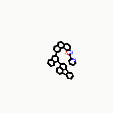 c1ccc(-c2nc3ccc4ccc5ccc(-c6cc(-c7ccc8c9c(cccc79)-c7ccccc7-8)c7ccccc7c6)cc5c4c3o2)nc1